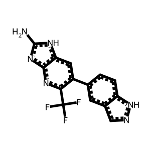 Nc1nc2nc(C(F)(F)F)c(-c3ccc4[nH]ncc4c3)cc2[nH]1